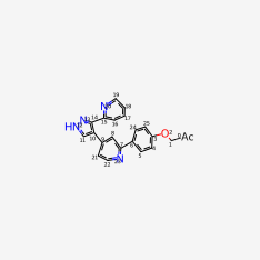 CC(=O)COc1ccc(-c2cc(-c3c[nH]nc3-c3ccccn3)ccn2)cc1